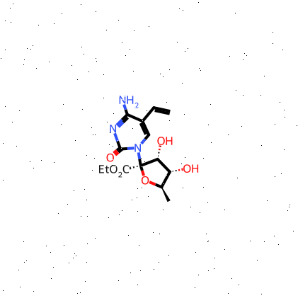 C=Cc1cn([C@]2(C(=O)OCC)O[C@H](C)[C@@H](O)[C@H]2O)c(=O)nc1N